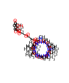 C/C=C/C[C@@H](C)C(OC(=O)O[CH]CCCCCC(=O)OCCCCCC(=O)OCC(=O)[C@@]1(O)CCC2C3CCC4=CC(=O)C=C[C@]4(C)C3[C@@H](O)C[C@@]21C)C1C(=O)NC(CC)C(=O)N(C)CC(=O)N(C)[C@@H](CC(C)C)C(=O)NC(C(C)C)C(=O)N(C)C(CC(C)C)C(=O)NC(C)C(=O)NC(C)C(=O)N(C)C(CC(C)C)C(=O)N(C)C(CC(C)C)C(=O)N(C)[C@H](C(C)C)C(=O)N1C